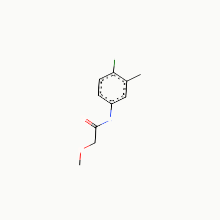 COCC(=O)Nc1ccc(Cl)c(C)c1